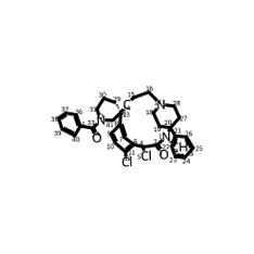 CN1C(=O)C(Cl)c2cc(ccc2Cl)[C@@]2(CCCN3CCC1(c1ccccc1)CC3)CCCN(C(=O)c1ccccc1)C2